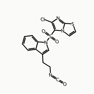 O=C=NCCc1cn(S(=O)(=O)c2c(Cl)nc3sccn23)c2ccccc12